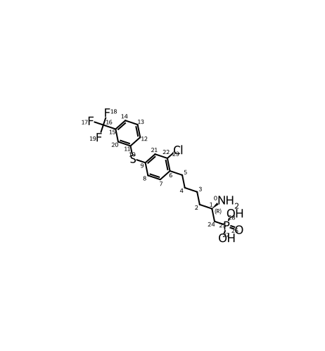 N[C@H](CCCCc1ccc(Sc2cccc(C(F)(F)F)c2)cc1Cl)CP(=O)(O)O